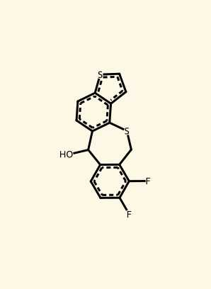 OC1c2ccc(F)c(F)c2CSc2c1ccc1sccc21